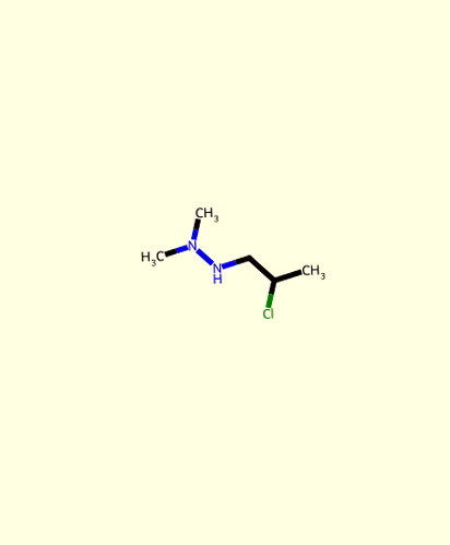 CC(Cl)CNN(C)C